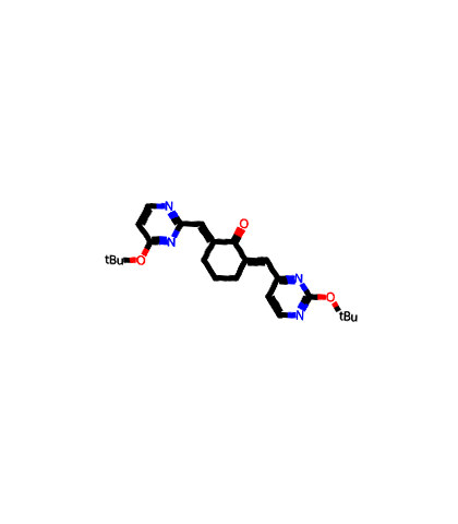 CC(C)(C)Oc1ccnc(/C=C2\CCC/C(=C\c3ccnc(OC(C)(C)C)n3)C2=O)n1